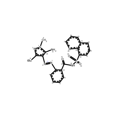 Cn1nc(C(C)(C)C)c(/N=N/c2ccccc2C(=O)NS(=O)(=O)c2cccc3cccnc23)c1N